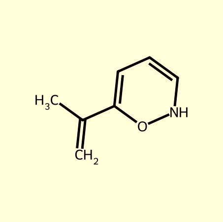 C=C(C)C1=CC=CNO1